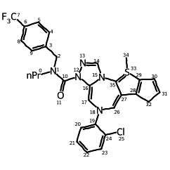 CCCN(Cc1ccc(C(F)(F)F)cc1)C(=O)N1N=CN2C1=CN(c1ccccc1Cl)C=C1C3=C(C=CC3)S(C)=C12